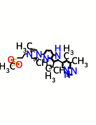 Cc1c(-c2[nH]c3ccc(N4C[C@H](C)N(CCCS(C)(=O)=O)C[C@H]4C)nc3c2C(C)C)cn2ncnc2c1C